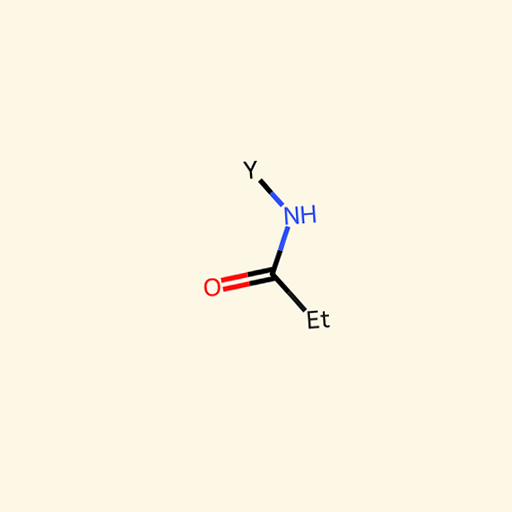 CCC(=O)[NH][Y]